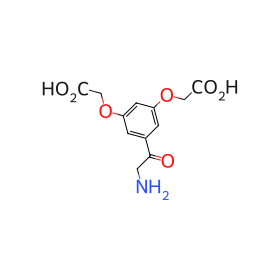 NCC(=O)c1cc(OCC(=O)O)cc(OCC(=O)O)c1